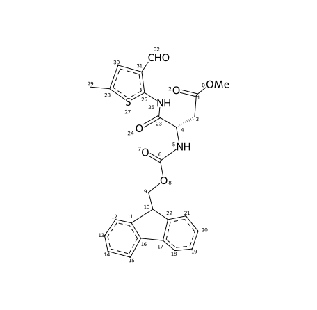 COC(=O)C[C@H](NC(=O)OCC1c2ccccc2-c2ccccc21)C(=O)Nc1sc(C)cc1C=O